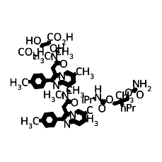 CCCC(C)(COC(N)=O)COC(=O)NC(C)C.Cc1ccc(-c2nc3ccc(C)cn3c2CC(=O)N(C)C)cc1.Cc1ccc(-c2nc3ccc(C)cn3c2CC(=O)N(C)C)cc1.O=C(O)C(O)C(O)C(=O)O